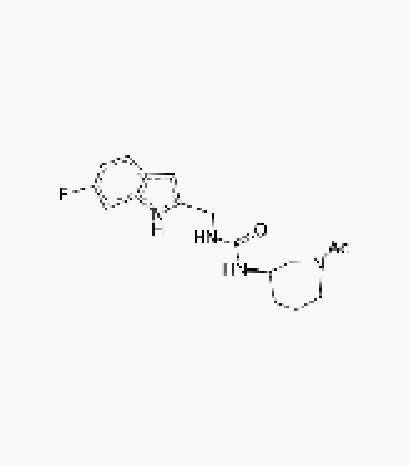 CC(=O)N1CCC[C@@H](NC(=O)NCc2cc3ccc(F)cc3[nH]2)C1